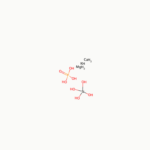 O=P(O)(O)O.O[Si](O)(O)O.[CaH2].[KH].[MgH2]